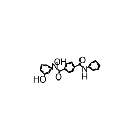 O=C(Nc1ccccc1)c1ccc(C(=O)N(O)c2cccc(O)c2)cc1